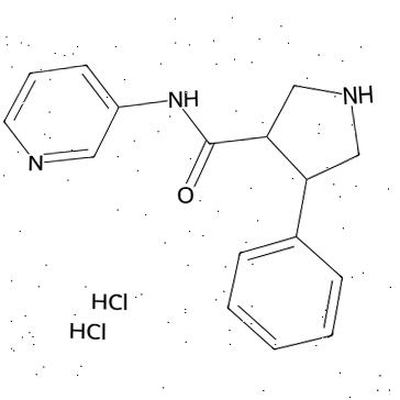 Cl.Cl.O=C(Nc1cccnc1)C1CNCC1c1ccccc1